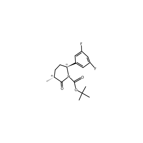 C[C@@H]1CC[C@@H](c2cc(F)cc(F)c2)N(C(=O)OC(C)(C)C)C1=O